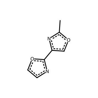 Cc1nc(-c2ncco2)co1